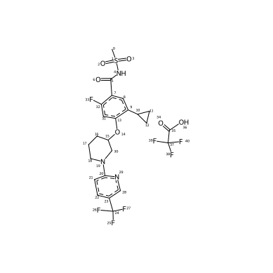 CS(=O)(=O)NC(=O)c1cc(C2CC2)c(OC2CCCN(c3ccc(C(F)(F)F)cn3)C2)cc1F.O=C(O)C(F)(F)F